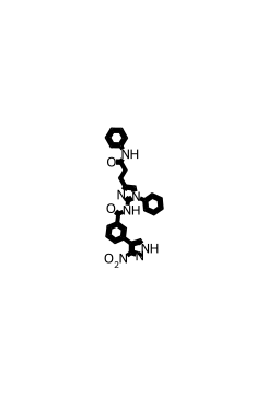 O=C(CCc1cn(-c2ccccc2)c(NC(=O)c2cccc(-c3c[nH]nc3[N+](=O)[O-])c2)n1)Nc1ccccc1